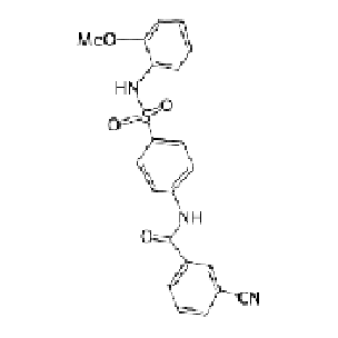 COc1ccccc1NS(=O)(=O)c1ccc(NC(=O)c2cccc(C#N)c2)cc1